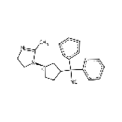 [C-]#[N+]C(c1ccccc1)(c1ccccc1)C1CC[C@@H](N2CCN=C2C)C1